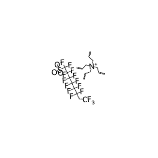 C=CC[N+](CC=C)(CC=C)CC=C.O=S(=O)([O-])C(F)(F)C(F)(F)C(F)(F)C(F)(F)C(F)(F)C(F)(F)CC(F)(F)F